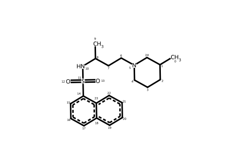 CC1CCCN(CCC(C)NS(=O)(=O)c2cccc3ccccc23)C1